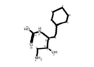 NC[C@H](O)[C@H](CC1CCCCC1)NC(=O)O